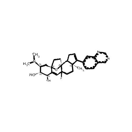 CN(C)[C@H]1C[C@@]23CC[C@]4(O2)C2CC=C(c5ccc6cncnc6c5)[C@@]2(C)CCC4(F)C=C3[C@@H](O)[C@@H]1O